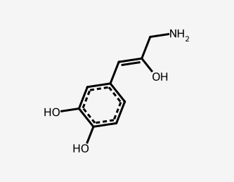 NCC(O)=Cc1ccc(O)c(O)c1